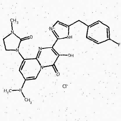 CN1CCN(c2cc(N(C)C)cn3c(=O)c(O)c(C4=[N+]C=C(Cc5ccc(F)cc5)N4)nc23)C1=O.[Cl-]